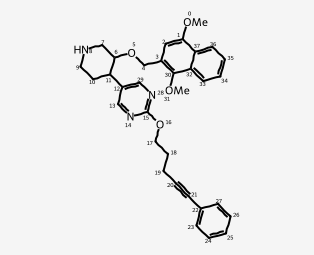 COc1cc(COC2CNCCC2c2cnc(OCCCC#Cc3ccccc3)nc2)c(OC)c2ccccc12